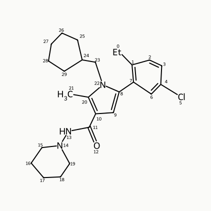 CCc1ccc(Cl)cc1-c1cc(C(=O)NN2CCCCC2)c(C)n1CC1CCCCC1